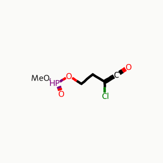 CO[PH](=O)OCCC(Cl)=C=O